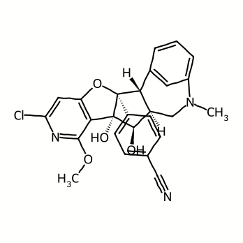 COc1nc(Cl)cc2c1[C@]1(O)[C@H](O)[C@@H]3CN(C)c4cccc(c4)[C@H]3[C@]1(c1ccc(C#N)cc1)O2